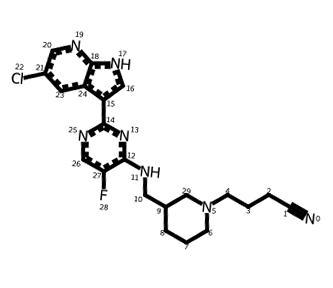 N#CCCCN1CCCC(CNc2nc(-c3c[nH]c4ncc(Cl)cc34)ncc2F)C1